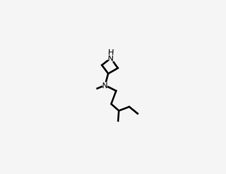 CCC(C)CCN(C)C1CNC1